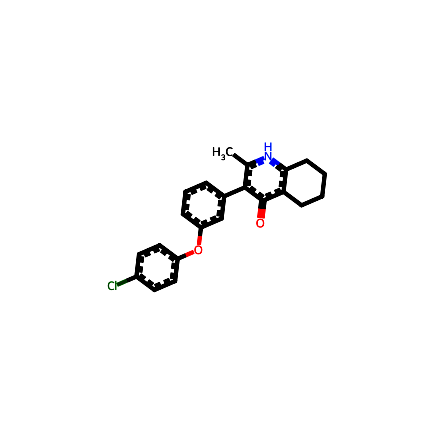 Cc1[nH]c2c(c(=O)c1-c1cccc(Oc3ccc(Cl)cc3)c1)CCCC2